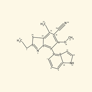 CCc1nc2c(-c3cccc4[nH]ccc34)c(OC)c(C#N)c(C)c2s1